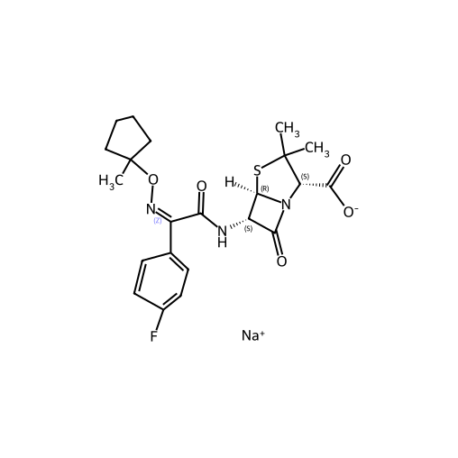 CC1(O/N=C(\C(=O)N[C@H]2C(=O)N3[C@@H]2SC(C)(C)[C@@H]3C(=O)[O-])c2ccc(F)cc2)CCCC1.[Na+]